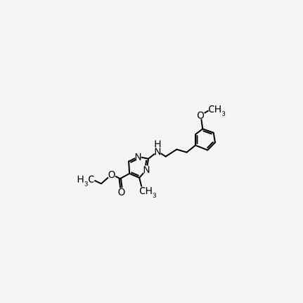 CCOC(=O)c1cnc(NCCCc2cccc(OC)c2)nc1C